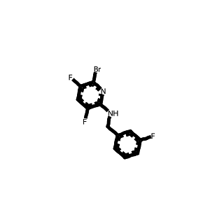 Fc1cccc(CNc2nc(Br)c(F)cc2F)c1